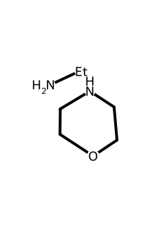 C1COCCN1.CCN